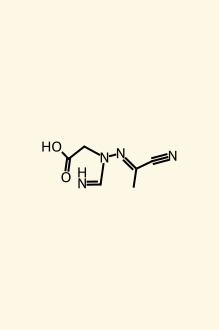 C/C(C#N)=N\N(C=N)CC(=O)O